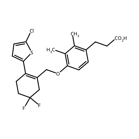 Cc1c(CCC(=O)O)ccc(OCC2=C(c3ccc(Cl)s3)CCC(F)(F)C2)c1C